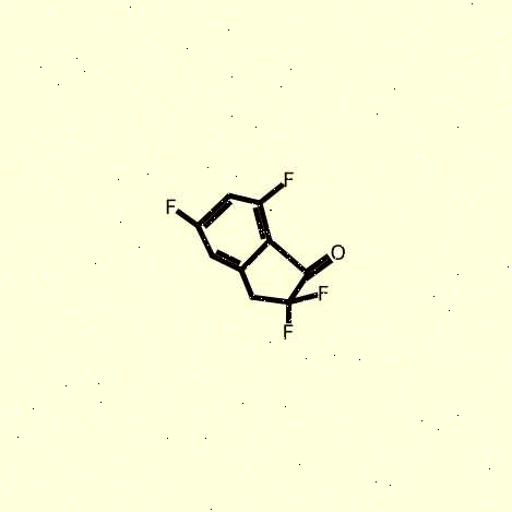 O=C1c2c(F)cc(F)cc2CC1(F)F